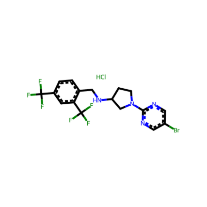 Cl.FC(F)(F)c1ccc(CNC2CCN(c3ncc(Br)cn3)C2)c(C(F)(F)F)c1